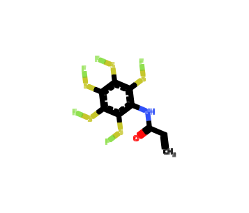 C=CC(=O)Nc1c(SF)c(SF)c(SF)c(SF)c1SF